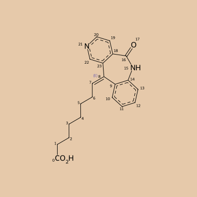 O=C(O)CCCCCC/C=C1\c2ccccc2NC(=O)c2ccncc21